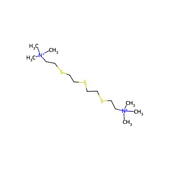 C[N+](C)(C)CCSCCSCCSCC[N+](C)(C)C